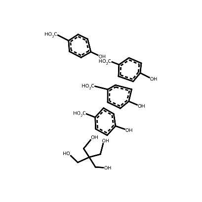 O=C(O)c1ccc(O)cc1.O=C(O)c1ccc(O)cc1.O=C(O)c1ccc(O)cc1.O=C(O)c1ccc(O)cc1.OCC(CO)(CO)CO